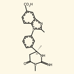 Cc1nc2cc(C(=O)O)ccc2n1-c1cccc([C@]2(C)CC(=O)N(C)C(=N)N2)c1